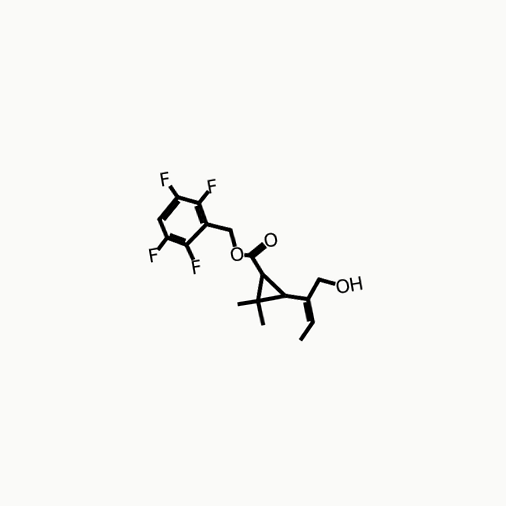 C/C=C(/CO)C1C(C(=O)OCc2c(F)c(F)cc(F)c2F)C1(C)C